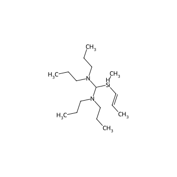 CC=C[SiH](C)C(N(CCC)CCC)N(CCC)CCC